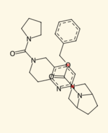 O=C(OCc1ccccc1)N1CC2CCC(C1)N2c1ccc2c(n1)CCN(C(=O)N1CCCC1)C2